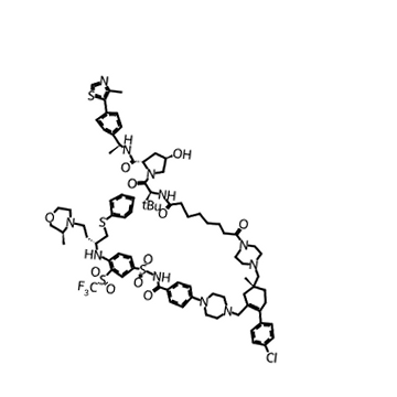 Cc1ncsc1-c1ccc([C@H](C)NC(=O)[C@@H]2C[C@@H](O)CN2C(=O)[C@@H](NC(=O)CCCCCCC(=O)N2CCN(C[C@]3(C)CCC(c4ccc(Cl)cc4)=C(CN4CCN(c5ccc(C(=O)NS(=O)(=O)c6ccc(N[C@H](CCN7CCOC[C@@H]7C)CSc7ccccc7)c(S(=O)(=O)C(F)(F)F)c6)cc5)CC4)C3)CC2)C(C)(C)C)cc1